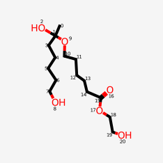 CC(O)(CCCCCO)OCCCCCC(=O)OCCO